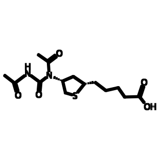 CC(=O)NC(=O)N(C(C)=O)[C@H]1CS[C@@H](CCCCC(=O)O)C1